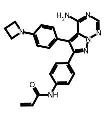 C=CC(=O)Nc1ccc(-c2nn3ncnc(N)c3c2-c2ccc(N3CCC3)cc2)cc1